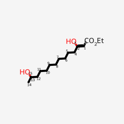 CCOC(=O)C=C(O)CCCCCCCCCC(C)O